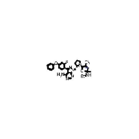 CCNC(C)(C)/C=C(/C#N)C(=O)N1CCC[C@H]1Cn1nc(-c2ccc(Oc3ccccc3)cc2F)c2c(N)ncnc21